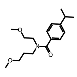 COCCCN(CCOC)C(=O)c1ccc(C(C)C)cc1